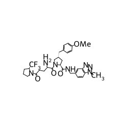 COc1ccc(C[C@@H]2C[C@@H](C(=O)NCc3ccc4c(c3)nnn4C)N(C(=O)[C@H](N)CCC(=O)N3CCCC3C(F)(F)F)C2)cc1